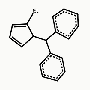 CCC1=CC=C[C]1C(c1ccccc1)c1ccccc1